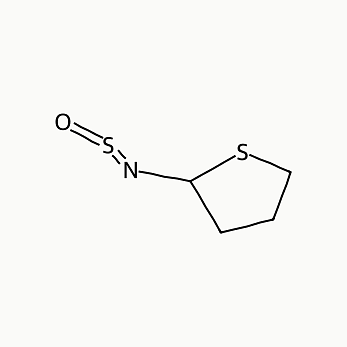 O=S=NC1CCCS1